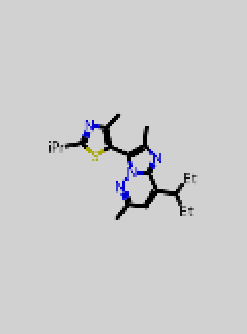 CCC(CC)c1cc(C)nn2c(-c3sc(C(C)C)nc3C)c(C)nc12